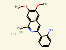 COc1cc2cc(-c3ccccc3N)nc(C)c2cc1OC.Cl.Cl